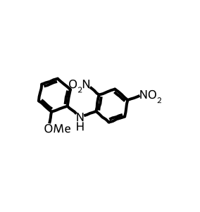 COc1ccccc1Nc1ccc([N+](=O)[O-])cc1[N+](=O)[O-]